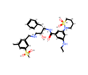 CCNc1cc(C(=O)N[C@@H](Cc2ccccc2)[C@H](O)CNCc2cc(C)cc(S(C)(=O)=O)c2)cc(N2CCCCS2(=O)=O)c1